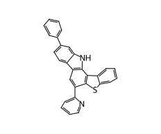 c1ccc(-c2ccc3c(c2)[nH]c2c3cc(-c3ccccn3)c3sc4ccccc4c32)cc1